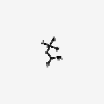 BC(CC)CC(CC)(C(C)C)C(C)C